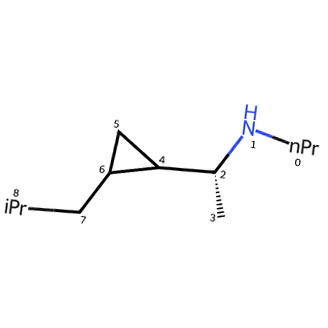 CCCN[C@H](C)C1CC1CC(C)C